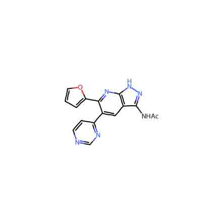 CC(=O)Nc1n[nH]c2nc(-c3ccco3)c(-c3ccncn3)cc12